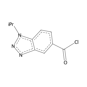 CC(C)n1nnc2cc(C(=O)Cl)ccc21